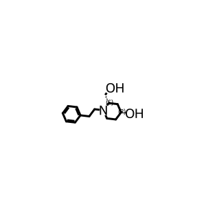 OC[C@@H]1C[C@H](O)CCN1CCc1ccccc1